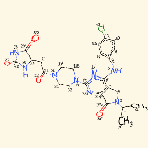 CC(C)N1Cc2c(Nc3ccc(Cl)cc3)nc(N3CCN(C(=O)CC4NC(=O)NC4=O)CC3)nc2C1=O